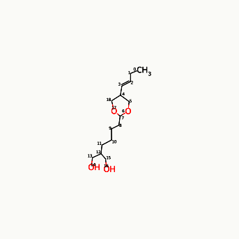 CCC=CC1COC(CCCCC(CO)CO)OC1